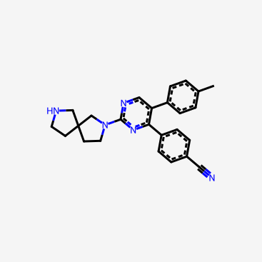 Cc1ccc(-c2cnc(N3CCC4(CCNC4)C3)nc2-c2ccc(C#N)cc2)cc1